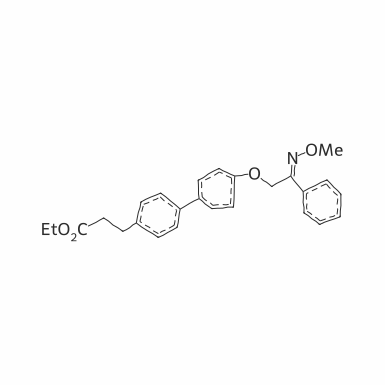 CCOC(=O)CCc1ccc(-c2ccc(OCC(=NOC)c3ccccc3)cc2)cc1